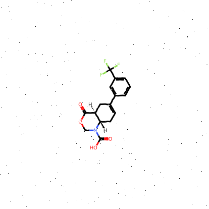 O=C1OCN(C(=O)O)[C@H]2CC=C(c3cccc(C(F)(F)F)c3)C[C@H]12